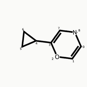 C1=COC(C2CC2)=C[N]1